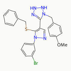 COc1ccc(CN2NNN=C2c2cnn(-c3cccc(Br)c3)c2SCc2ccccc2)cc1